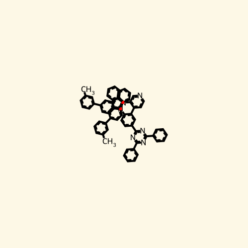 Cc1cccc(-c2ccc3c(c2)c2ccccc2n3-c2ccc(-c3nc(-c4ccccc4)nc(-c4ccccc4)n3)cc2-c2ccncc2-n2c3ccccc3c3cc(-c4cccc(C)c4)ccc32)c1